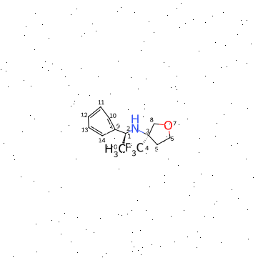 C[C@H](N[C@]1(C(F)(F)F)CCOC1)c1ccccc1